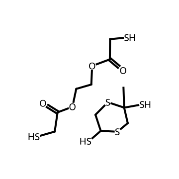 CC1(S)CSC(S)CS1.O=C(CS)OCCOC(=O)CS